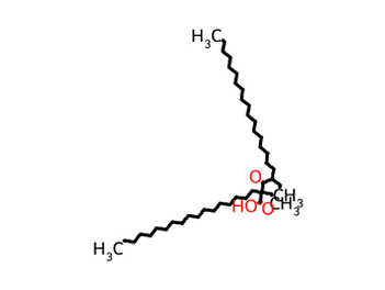 CCCCCCCCCCCCCCCCCCC(CC)C(=O)C(CC)(CCCCCCCCCCCCCCCCCC)C(=O)O